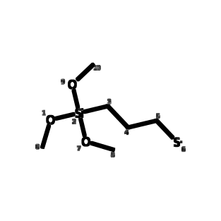 CO[Si](CCC[S])(OC)OC